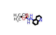 CC(C)(C)OC(=O)NNc1cccc2ncccc12